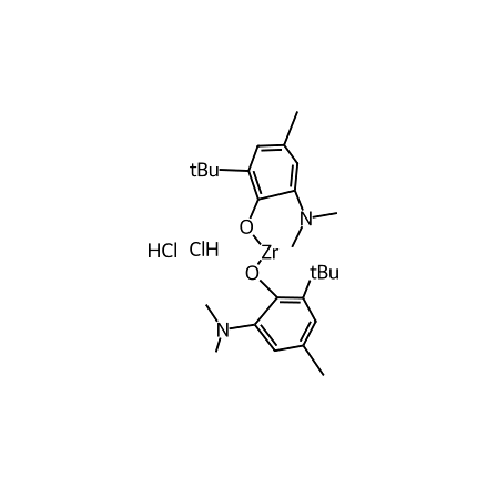 Cc1cc(N(C)C)c([O][Zr][O]c2c(N(C)C)cc(C)cc2C(C)(C)C)c(C(C)(C)C)c1.Cl.Cl